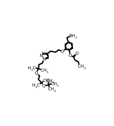 BCc1ccc(OC(=O)CCC)c(OCCCc2cn(CCC(C)(C)OCCC(C)(C)OC(C)(C)C)nn2)c1